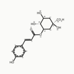 O=C(/C=C/c1ccc(O)cc1)OC1C[C@@](O)(C(=O)O)CC(O)[C@H]1O